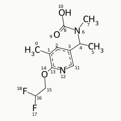 Cc1cc(C(C)N(C)C(=O)O)cnc1OCC(F)F